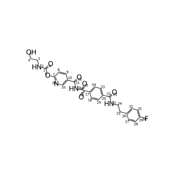 O=C(NCCO)Oc1ccc(C(=O)NS(=O)(=O)c2ccc(C(=O)NCCc3ccc(F)cc3)cc2)cn1